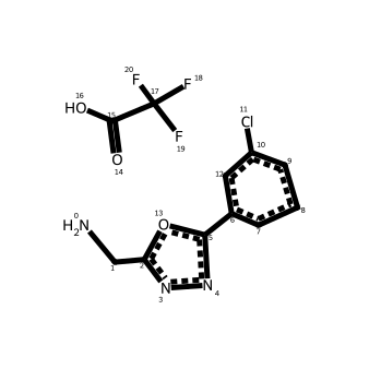 NCc1nnc(-c2cccc(Cl)c2)o1.O=C(O)C(F)(F)F